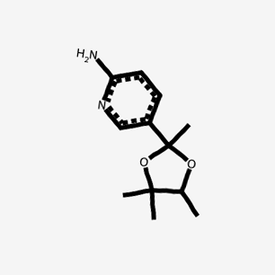 CC1OC(C)(c2ccc(N)nc2)OC1(C)C